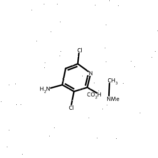 CNC.Nc1cc(Cl)nc(C(=O)O)c1Cl